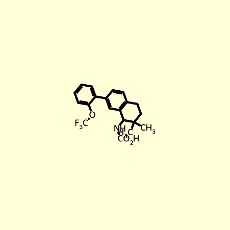 CC1(C)CCc2ccc(-c3ccccc3OC(F)(F)F)cc2C1NC(=O)O